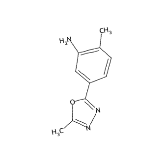 Cc1nnc(-c2ccc(C)c(N)c2)o1